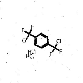 Cl.Cl.FC(F)(Cl)c1ccc(C(F)(F)Cl)cc1